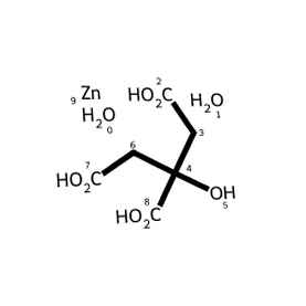 O.O.O=C(O)CC(O)(CC(=O)O)C(=O)O.[Zn]